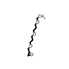 CCOCCCOCCCOCC1CO1